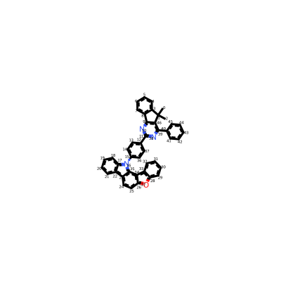 CC1(C)c2ccccc2-c2nc(-c3ccc(-n4c5ccccc5c5ccc6oc7ccccc7c6c54)cc3)nc(-c3ccccc3)c21